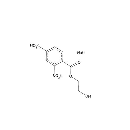 O=C(O)c1cc(S(=O)(=O)O)ccc1C(=O)OCCO.[NaH]